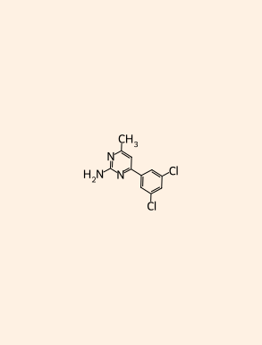 Cc1cc(-c2cc(Cl)cc(Cl)c2)nc(N)n1